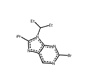 CCC(CC)n1c(C(C)C)nc2cnc(Br)nc21